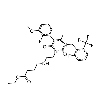 CCOC(=O)CCCNCCn1c(=O)c(-c2cccc(OC)c2F)c(C)n(Cc2c(F)cccc2C(F)(F)F)c1=O